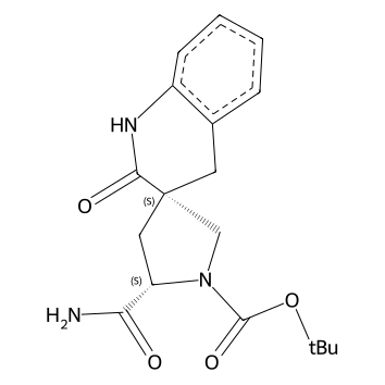 CC(C)(C)OC(=O)N1C[C@]2(Cc3ccccc3NC2=O)C[C@H]1C(N)=O